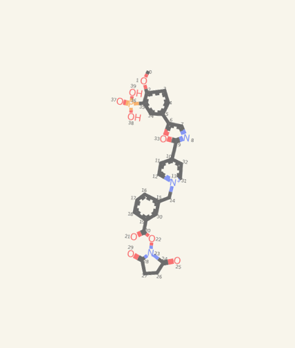 COc1ccc(-c2cnc(-c3cc[n+](Cc4cccc(C(=O)ON5C(=O)CCC5=O)c4)cc3)o2)cc1P(=O)(O)O